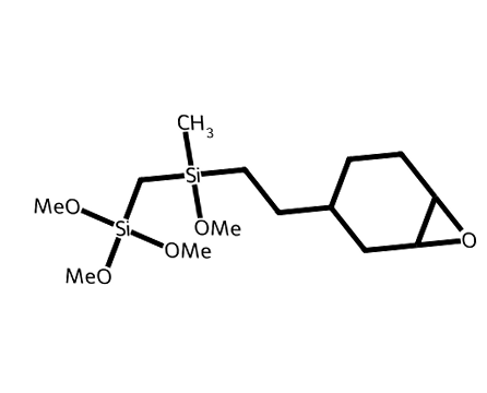 CO[Si](C)(CCC1CCC2OC2C1)C[Si](OC)(OC)OC